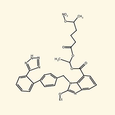 CCOc1nc2cccc(C(=O)OC(C)OC(=O)CCCC(C)O[N+](=O)[O-])c2n1Cc1ccc(-c2ccccc2-c2nn[nH]n2)cc1